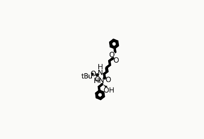 CC(C)(C)OC(=O)N[C@H](C=CCCC(=O)OCc1ccccc1)C(=O)N[C@H](CO)Cc1ccccc1